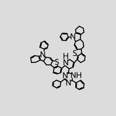 C1=CCC(C2=NC(c3ccccc3)NC(C3C=C(C4=C5SC6=CC7C(CCC6C5=CCC4)C4=C(CCCC4)N7c4ccccc4)CNC3c3cccc4c3SC3=CC5C(CC34)C3=C(C=CCC3)N5c3ccccc3)=N2)C=C1